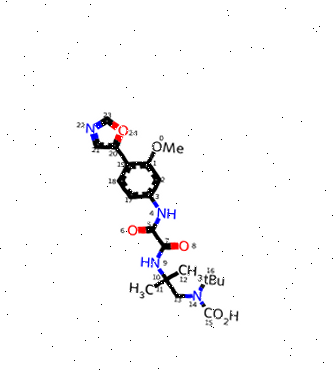 COc1cc(NC(=O)C(=O)NC(C)(C)CN(C(=O)O)C(C)(C)C)ccc1-c1cnco1